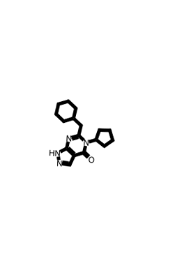 O=c1c2cn[nH]c2nc(CC2CCCCC2)n1C1CCCC1